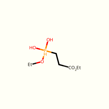 CCOC(=O)CC[PH](O)(O)OCC